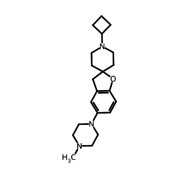 CN1CCN(c2ccc3c(c2)CC2(CCN(C4CCC4)CC2)O3)CC1